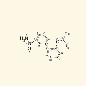 N[N+](=O)c1[c]ccc(-c2ccccc2OC(F)F)c1